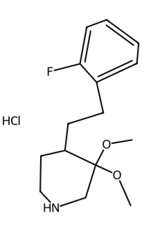 COC1(OC)CNCCC1CCc1ccccc1F.Cl